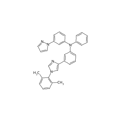 Cc1cccc(C)c1-n1cnc(-c2cccc(N(c3ccccc3)c3cccc(-n4cccn4)c3)c2)c1